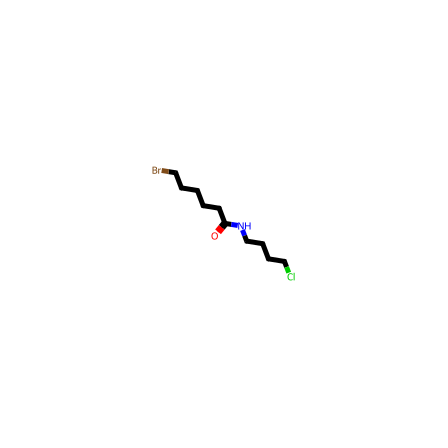 O=C(CCCCCBr)NCCCCCl